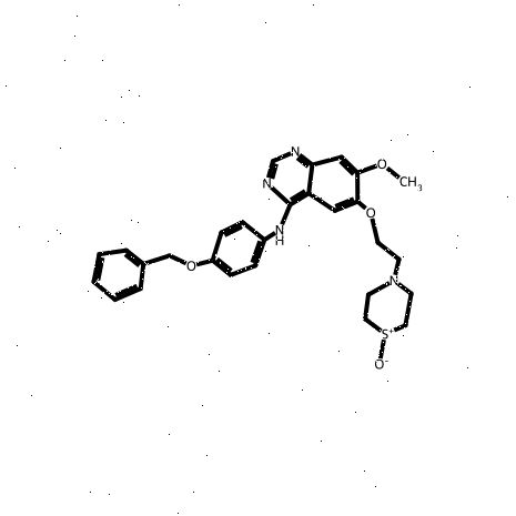 COc1cc2ncnc(Nc3ccc(OCc4ccccc4)cc3)c2cc1OCCN1CC[S+]([O-])CC1